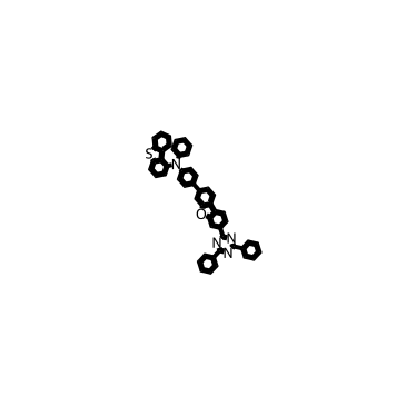 c1ccc(-c2nc(-c3ccccc3)nc(-c3ccc4c(c3)oc3cc(-c5ccc(N(c6ccccc6)c6cccc7sc8ccccc8c67)cc5)ccc34)n2)cc1